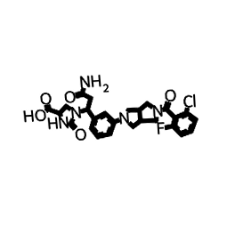 NC(=O)CC(c1cccc(N2CC3CN(C(=O)c4c(F)cccc4Cl)CC3C2)c1)N1CC(C(=O)O)NC1=O